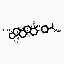 COC(=O)c1ccc([C@@H]2CC[C@]3(C)[C@H]4CC[C@@H]5[C@H]6[C@H](C(C)C)CC[C@]6(C(=O)O)CC[C@@]5(C)[C@]4(C)CC[C@H]3C2(C)C)cc1